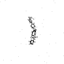 Nc1nnc(C2CCN(c3ccc(NC(=O)Cc4cccnc4)nn3)CC2)s1